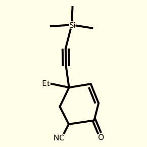 CCC1(C#C[Si](C)(C)C)C=CC(=O)C(C#N)C1